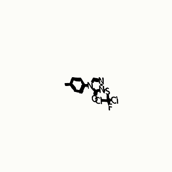 Cc1ccc(-n2cnn(SC(F)(Cl)Cl)c2=O)cc1